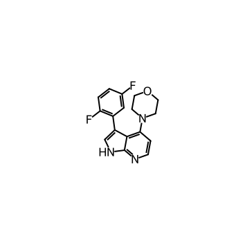 Fc1ccc(F)c(-c2c[nH]c3nccc(N4CCOCC4)c23)c1